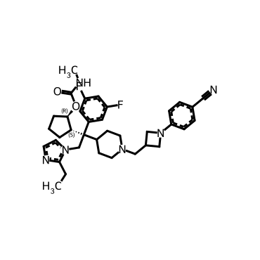 CCc1nccn1CC(c1cc(F)cc(F)c1)(C1CCN(CC2CN(c3ccc(C#N)cc3)C2)CC1)[C@@H]1CCC[C@H]1OC(=O)NC